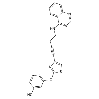 N#Cc1cccc(Oc2nc(C#CCCNc3ncnc4ccccc34)cs2)c1